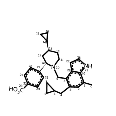 Cc1cc(CC2CC2)c(CN2CC[C@H](C3CC3)C[C@H]2c2ccc(C(=O)O)cc2)c2cc[nH]c12